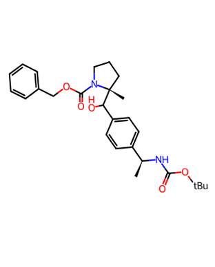 C[C@H](NC(=O)OC(C)(C)C)c1ccc(C(O)[C@@]2(C)CCCN2C(=O)OCc2ccccc2)cc1